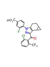 O=C(O)c1ccc(-n2nc(C(=O)c3c(Cl)cccc3C(F)(F)F)c3c2CCC2CC32)c(F)c1